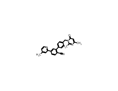 Cc1ccnc(-c2ccc(C#N)c(-c3ccc(Cn4c(C)nc(C)cc4=O)cc3)c2)c1